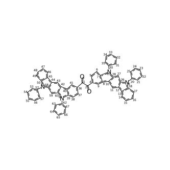 O=C(C(=O)c1ccc2c(c1)c1cc3c4ccccc4n(-c4ccccc4)c3cc1n2-c1ccccc1)c1ccc2c(c1)c1cc3c4ccccc4n(-c4ccccc4)c3cc1n2-c1ccccc1